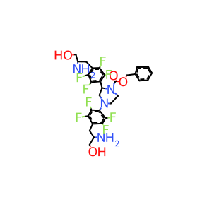 N[C@@H](CO)Cc1c(F)c(F)c(C2CN(c3c(F)c(F)c(C[C@@H](N)CO)c(F)c3F)CCN2C(=O)OCc2ccccc2)c(F)c1F